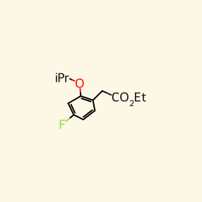 CCOC(=O)Cc1ccc(F)cc1OC(C)C